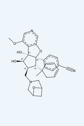 COc1cncc2c1[C@]1(O)[C@H](O)[C@H](CN3CC4CC(C3)O4)[C@@H](C3(C)C=CC=CC3)[C@]1(c1ccc(C#N)cc1)O2